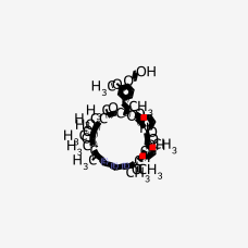 CO[C@H]1C[C@@H]2CC[C@@H](C)[C@@](O)(O2)C(=O)C(=O)N2CC=CC[C@H]2C(=O)O[C@H]([C@H](C)C[C@@H]2CC[C@@H](OCCO)[C@H](OC)C2)CC(=O)[C@H](C)CC(C)[C@@H](O)[C@@H](OC)C(=O)[C@H](C)C[C@H](C)/C=C/C=C/C=C/1C